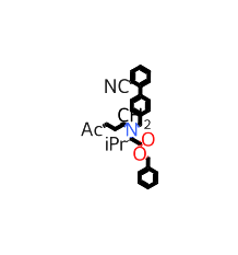 C=C(CCC(C)=O)N(Cc1ccc(-c2ccccc2C#N)cc1)[C@H](C(=O)OCc1ccccc1)C(C)C